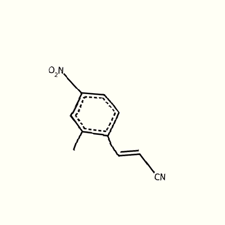 Cc1cc([N+](=O)[O-])ccc1C=CC#N